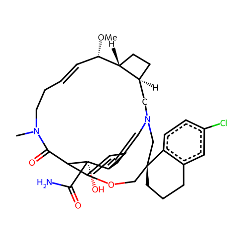 CO[C@H]1/C=C/CCN(C)C(=O)C2C3=CC=C(C=CN(C[C@@H]4CC[C@H]41)C[C@@]1(CCCc4cc(Cl)ccc41)CO3)[C@@]2(O)C(N)=O